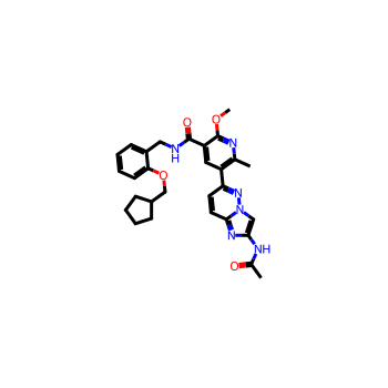 COc1nc(C)c(-c2ccc3nc(NC(C)=O)cn3n2)cc1C(=O)NCc1ccccc1OCC1CCCC1